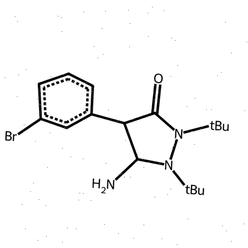 CC(C)(C)N1C(=O)C(c2cccc(Br)c2)C(N)N1C(C)(C)C